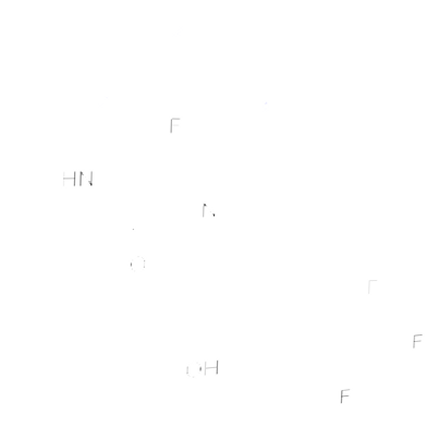 C/C=C(O)\C(=C/C(C)C(F)(F)F)N1C(=O)N/C(C)=C(F)/C=C\C=C\C1C